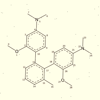 COc1cc(N(C)C)ccc1-c1cccc(C)c1-c1ccc(N(C)C)cc1OC